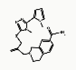 C=C(CSc1nnc(-c2cccn2C)n1C)CN1CCc2ccc(C(N)=O)cc2C1